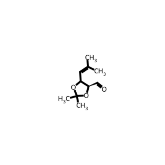 CC(C)=CC1OC(C)(C)O[C@@H]1C=O